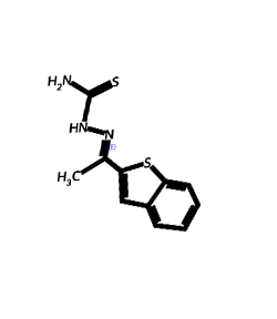 C/C(=N\NC(N)=S)c1cc2ccccc2s1